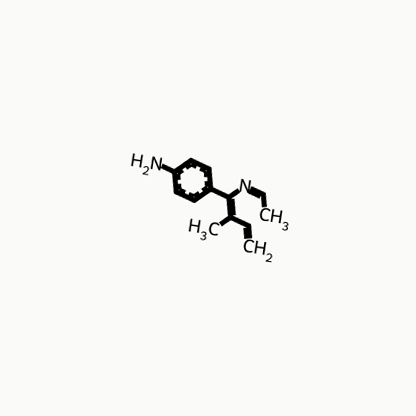 C=C/C(C)=C(\N=C/C)c1ccc(N)cc1